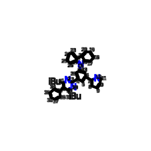 CCC(C)c1nc(-c2cc(-c3ccccn3)cc(-n3c4ccccc4c4ccccc43)c2)nc(C(C)CC)c1-c1ccccc1